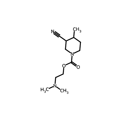 CC1CCN(C(=O)OCCN(C)C)CC1C#N